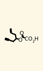 C#CCC(CC=C)OC(=O)C(=O)O